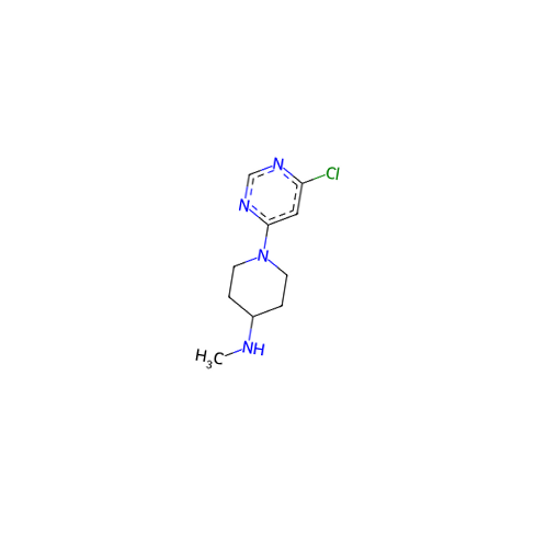 CNC1CCN(c2cc(Cl)ncn2)CC1